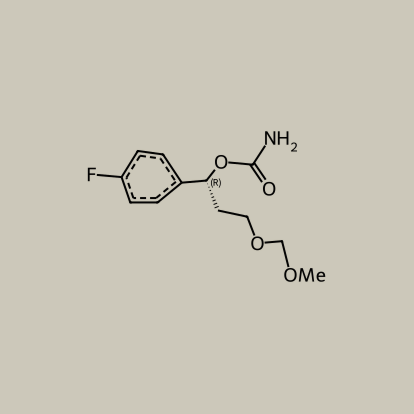 COCOCC[C@@H](OC(N)=O)c1ccc(F)cc1